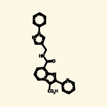 O=C(NCc1cnn(-c2ccccc2)c1)c1cccn2c(C(=O)O)c(-c3ccccn3)nc12